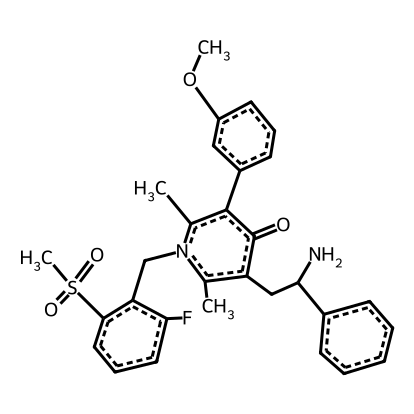 COc1cccc(-c2c(C)n(Cc3c(F)cccc3S(C)(=O)=O)c(C)c(CC(N)c3ccccc3)c2=O)c1